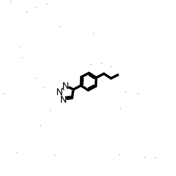 CCCc1ccc(C2C=NN=N2)cc1